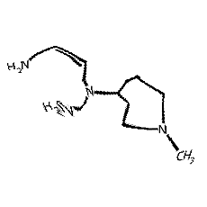 CN1CCC(N(N)/C=C\N)C1